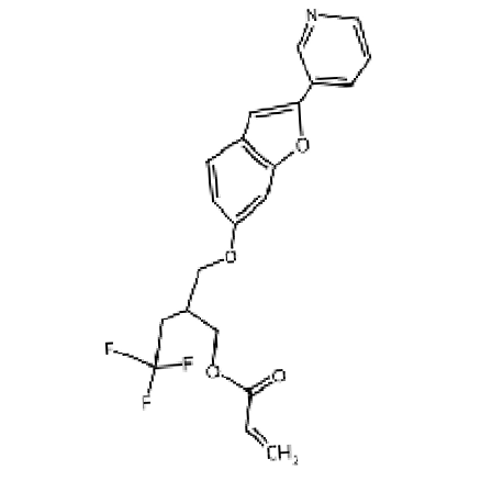 C=CC(=O)OCC(COc1ccc2cc(-c3cccnc3)oc2c1)CC(F)(F)F